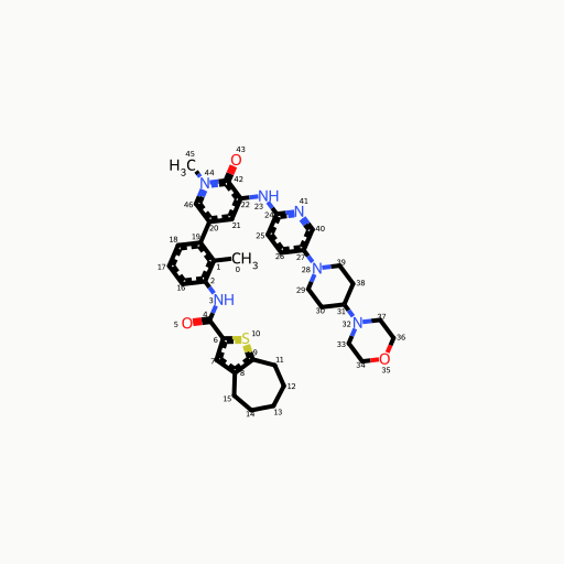 Cc1c(NC(=O)c2cc3c(s2)CCCCC3)cccc1-c1cc(Nc2ccc(N3CCC(N4CCOCC4)CC3)cn2)c(=O)n(C)c1